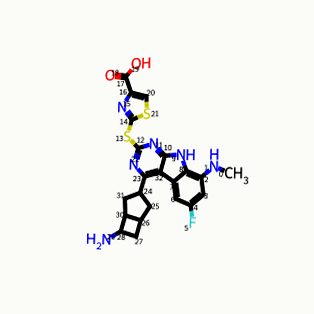 CNc1cc(F)cc2c1[nH]c1nc(Sc3nc(C(=O)O)cs3)nc(C3CC4CC(N)C4C3)c12